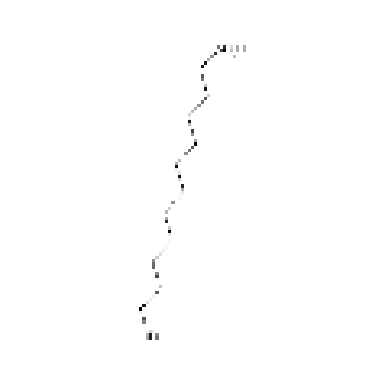 CC(C)CCCCCCCCCCCS(=O)(=O)O